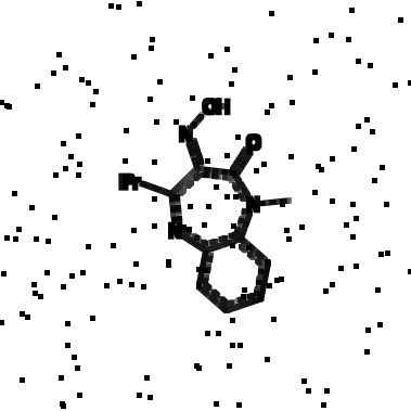 CC(C)c1nc2ccccc2n(C)c(=O)c1=NO